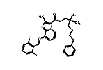 Cc1nc2c(OCc3c(F)cccc3F)cccn2c1C(=O)NCC(C)(N)COCCc1ccccc1